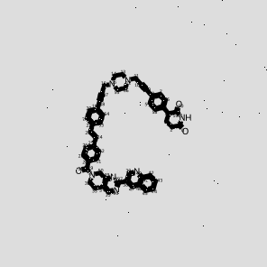 O=C1CCC(c2ccc(C#CCN3CCN(CC#Cc4ccc(/C=C/c5ccc(C(=O)N6CCc7cnc(-c8cnc9ccccc9c8)nc7C6)cc5)cc4)CC3)cc2)C(=O)N1